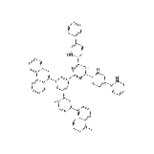 CN1CC=Cc2c(C3=CC(c4cc(C5=NC(C6=CC=C(C7=CC=CCN7)CN6)NC(C6C=CC(c7ccccn7)=CN6)=N5)cc(-c5cc6ccccc6c6ccccc56)c4)NC=C3)cccc21